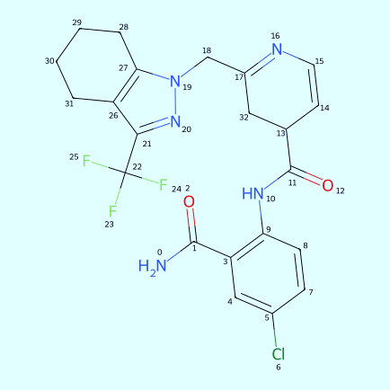 NC(=O)c1cc(Cl)ccc1NC(=O)C1C=CN=C(Cn2nc(C(F)(F)F)c3c2CCCC3)C1